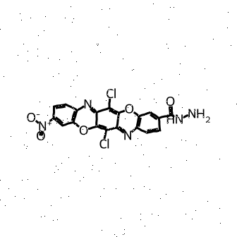 NNC(=O)c1ccc2c(c1)Oc1c(Cl)c3c(c(Cl)c1=N2)Oc1cc([N+](=O)[O-])ccc1N=3